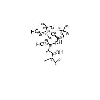 CCC(C)C(O)C[C@H](NC(=O)OC(C)(C)C)[C@H](O)C[C@H](CO)C(C)C